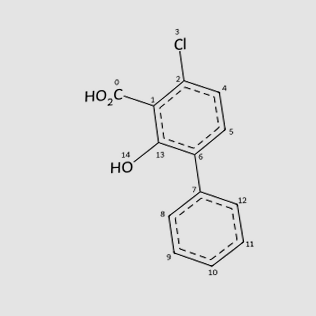 O=C(O)c1c(Cl)ccc(-c2ccccc2)c1O